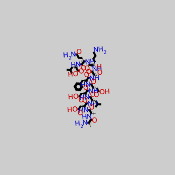 CC(C)C[C@H](NC(=O)[C@H](CCC(N)=O)NC(=O)[C@H](CCCCN)NC(=O)[C@H](CO)NC(=O)[C@H](Cc1ccccc1)NC(=O)[C@H](CC(=O)O)NC(=O)[C@H](CC(=O)O)NC(=O)[C@H](CC(C)C)NC(=O)[C@H](CC(=O)O)NC(=O)[C@H](C)NC(=O)[C@H](C)N)C(=O)O